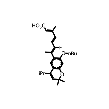 CCCCOc1cc2c(cc1C(C)=C(F)C=CC(C)=CC(=O)O)C(C(C)C)=CC(C)(C)O2